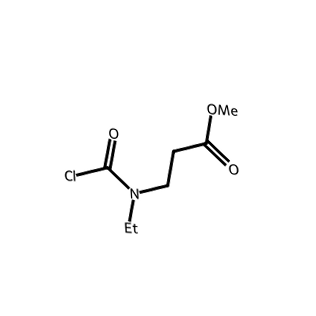 CCN(CCC(=O)OC)C(=O)Cl